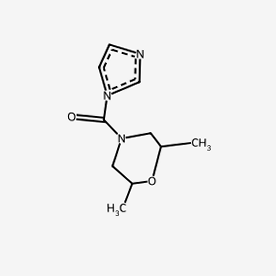 CC1CN(C(=O)n2ccnc2)CC(C)O1